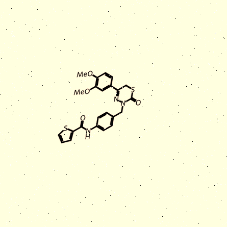 COc1ccc(C2=NN(Cc3ccc(NC(=O)c4cccs4)cc3)C(=O)SC2)cc1OC